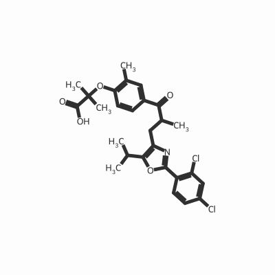 Cc1cc(C(=O)C(C)Cc2nc(-c3ccc(Cl)cc3Cl)oc2C(C)C)ccc1OC(C)(C)C(=O)O